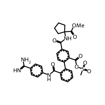 COC(=O)C1(NC(=O)c2ccc(-c3ccccc3C(=O)Nc3ccc(C(=N)N)cc3)c(C(=O)OS(C)(=O)=O)c2)CCCC1